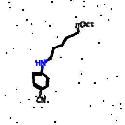 CCCCCCCCCCCCCNc1ccc(C#N)cc1